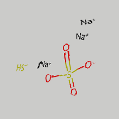 O=S(=O)([O-])[O-].[Na+].[Na+].[Na+].[SH-]